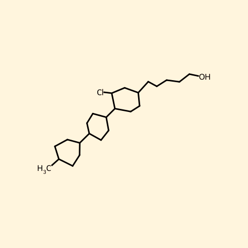 CC1CCC(C2CCC(C3CCC(CCCCCO)CC3Cl)CC2)CC1